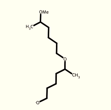 COC(C)CCCCOC(C)CCCC[O]